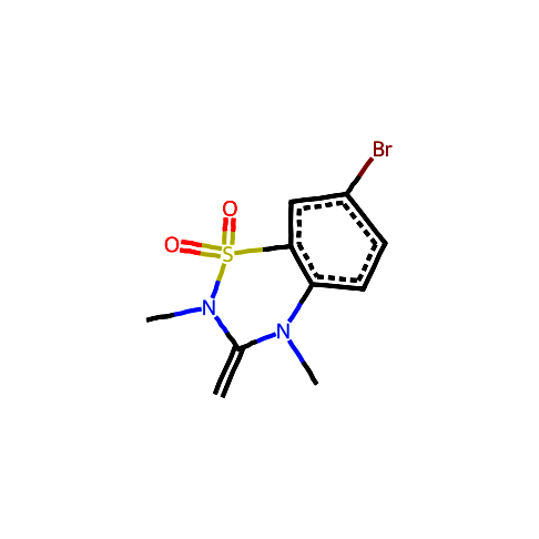 C=C1N(C)c2ccc(Br)cc2S(=O)(=O)N1C